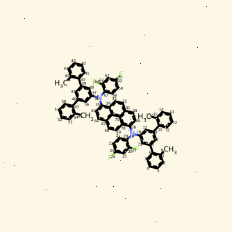 Cc1ccccc1-c1cc(-c2ccccc2C)cc(N(c2ccc(F)cc2F)c2ccc3ccc4c(N(c5cc(-c6ccccc6C)cc(-c6ccccc6C)c5)c5ccc(F)cc5F)ccc5ccc2c3c54)c1